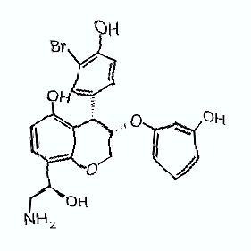 NC[C@H](O)c1ccc(O)c2c1OC[C@@H](Oc1cccc(O)c1)[C@H]2c1ccc(O)c(Br)c1